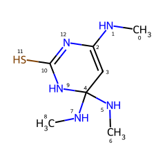 CNC1=CC(NC)(NC)NC(S)=N1